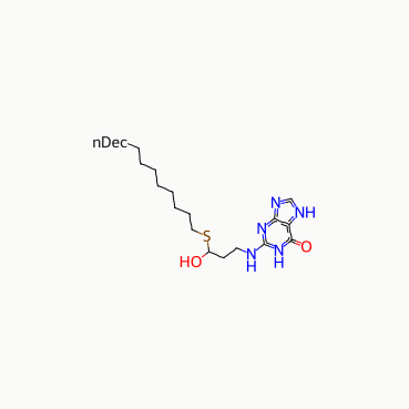 CCCCCCCCCCCCCCCCCCSC(O)CCNc1nc2nc[nH]c2c(=O)[nH]1